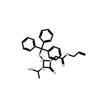 C=CCOC(=O)CN1C(=O)[C@@H](C(C)O)[C@H]1SC(c1ccccc1)(c1ccccc1)c1ccccc1